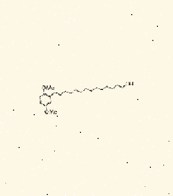 COc1ccc(OC)c(CCCCCCCCCCCCCCO)c1